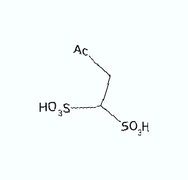 CC(=O)CC(S(=O)(=O)O)S(=O)(=O)O